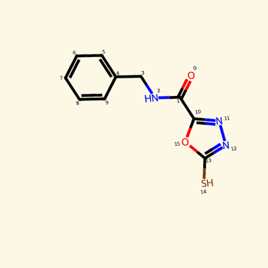 O=C(NCc1ccccc1)c1nnc(S)o1